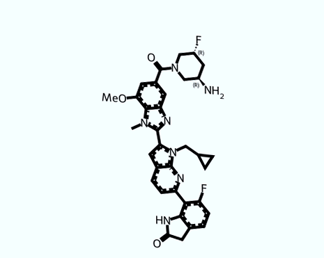 COc1cc(C(=O)N2C[C@H](N)C[C@@H](F)C2)cc2nc(-c3cc4ccc(-c5c(F)ccc6c5NC(=O)C6)nc4n3CC3CC3)n(C)c12